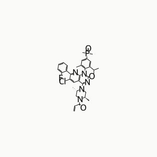 C=CC(=O)N1C[C@H](C)N(c2nc(=O)n(-c3c(C)cc(P(C)(C)=O)cc3C(C)C)c3nc(-c4ccccc4F)c(Cl)cc23)C[C@H]1C